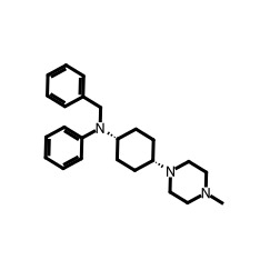 CN1CCN([C@H]2CC[C@@H](N(Cc3ccccc3)c3ccccc3)CC2)CC1